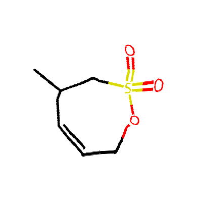 CC1C=CCOS(=O)(=O)C1